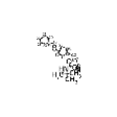 CC(C)(C)NC(=O)OC(CC#N)Cc1ccc(OCc2ccccc2)cc1